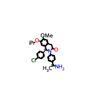 COc1cc2c(cc1OC(C)C)[C@H](c1ccc(Cl)cc1)N(c1ccc([C@H](C)N)cc1)C(=O)C2